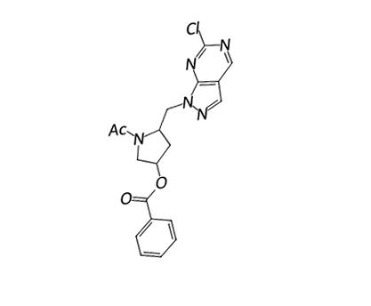 CC(=O)N1CC(OC(=O)c2ccccc2)CC1Cn1ncc2cnc(Cl)nc21